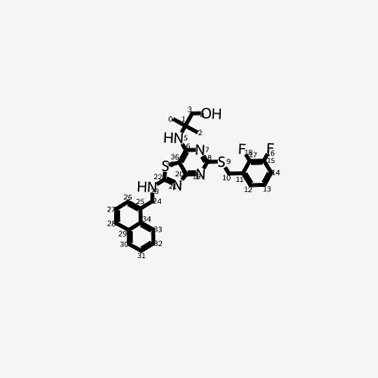 CC(C)(CO)Nc1nc(SCc2cccc(F)c2F)nc2nc(NCc3cccc4ccccc34)sc12